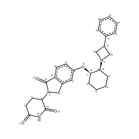 O=C1CCC(N2Cc3cc(O[C@@H]4CCCC[C@@H]4N4CC(c5ccccc5)C4)ccc3C2=O)C(=O)N1